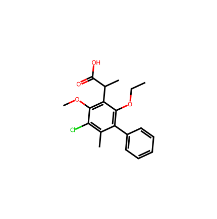 CCOc1c(-c2ccccc2)c(C)c(Cl)c(OC)c1C(C)C(=O)O